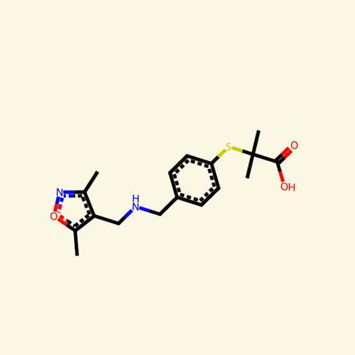 Cc1noc(C)c1CNCc1ccc(SC(C)(C)C(=O)O)cc1